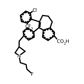 O=C(O)c1ccc2c(c1)CCCC(c1c(Cl)cccc1C(F)(F)F)=C2c1ccc(CC2CN(CCCF)C2)cc1